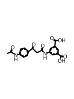 CC(=O)Nc1ccc(C(=O)CC(=O)Nc2cc(C(=O)O)cc(C(=O)O)c2)cc1